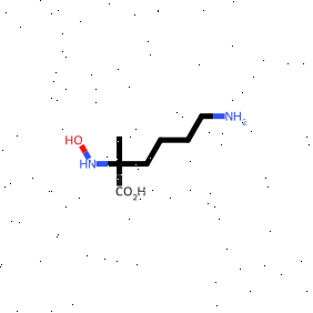 CC(CCCCN)(NO)C(=O)O